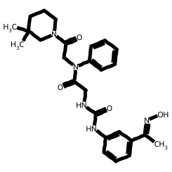 CC(=NO)c1cccc(NC(=O)NCC(=O)N(CC(=O)N2CCCC(C)(C)C2)c2ccccc2)c1